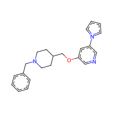 c1ccc(CN2CCC(COc3cncc(-n4cccc4)c3)CC2)cc1